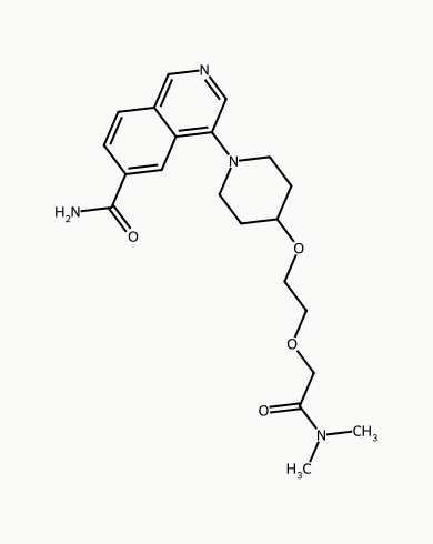 CN(C)C(=O)COCCOC1CCN(c2cncc3ccc(C(N)=O)cc23)CC1